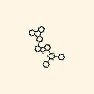 c1ccc(-c2nc(-c3ccccc3)nc(-c3cccc4c3oc3cccc(-c5ccc6c7ccccc7c7ccccc7c6c5)c34)n2)cc1